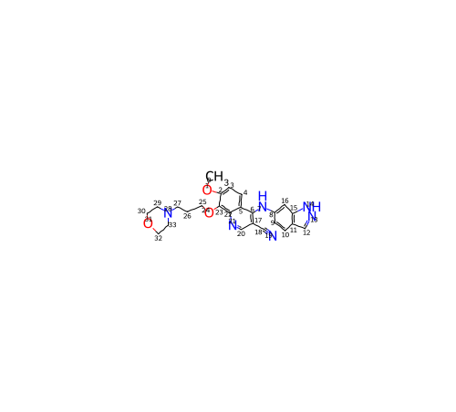 COc1ccc2c(Nc3ccc4cn[nH]c4c3)c(C#N)cnc2c1OCCCN1CCOCC1